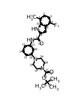 Cc1ccc(F)c2cc(C(=O)Nc3cccc(N4CCN(C(=O)OC(C)(C)C)CC4)c3)[nH]c12